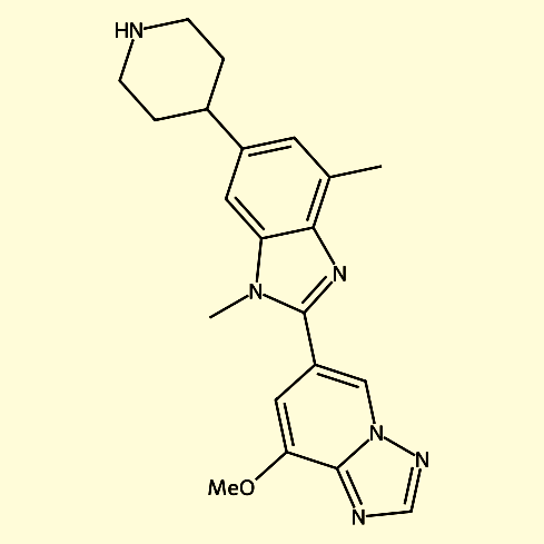 COc1cc(-c2nc3c(C)cc(C4CCNCC4)cc3n2C)cn2ncnc12